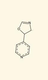 [CH]1N=COC1c1ccncc1